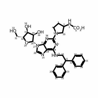 O=C(O)NC1CCN(c2nc(NCC(c3ccccc3)c3ccccc3)c3ncn([C@@H]4O[C@H](CO)[C@@H](O)[C@H]4O)c3n2)C1